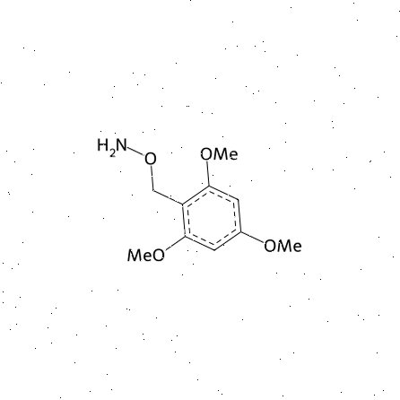 COc1cc(OC)c(CON)c(OC)c1